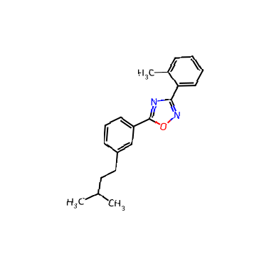 Cc1ccccc1-c1noc(-c2cccc(CCC(C)C)c2)n1